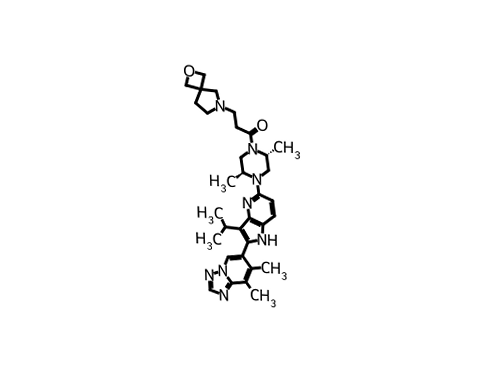 Cc1c(-c2[nH]c3ccc(N4C[C@@H](C)N(C(=O)CCN5CCC6(COC6)C5)C[C@@H]4C)nc3c2C(C)C)cn2ncnc2c1C